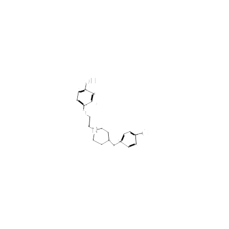 Cc1ccc(CC2CCN(CCOc3ccc(O)cc3)CC2)cc1